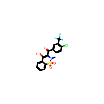 CN1C(C(=O)c2ccc(Cl)c(C(F)(F)F)c2)=C(O)c2ccccc2S1(=O)=O